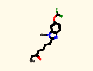 CC(C)(C)CC(=O)CCCCc1nc2ccc(OC(F)F)cc2n1C(C)(C)C